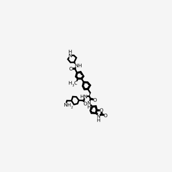 Cc1cc(C(=O)NC2CCNCC2)ccc1-c1ccc(C[C@H](NC(=O)C2CCC(CN)CC2)C(=O)Nc2ccc3[nH]c(=O)oc3c2)cc1